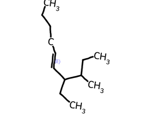 CCCC/C=C/C(CC)C(C)CC